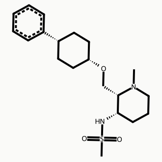 CN1CCC[C@H](NS(C)(=O)=O)[C@@H]1CO[C@H]1CC[C@@H](c2ccccc2)CC1